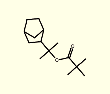 CC(C)(C)C(=O)OC(C)(C)C1CC2CCC1C2